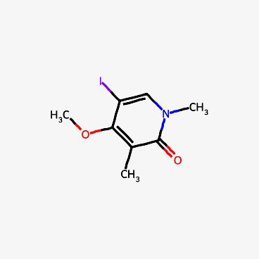 COc1c(I)cn(C)c(=O)c1C